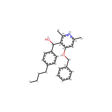 CCCCc1ccc(C(O)c2c(OCc3ccccc3)cc(C)nc2C)cc1